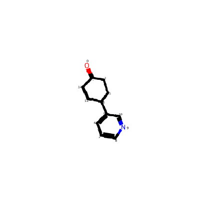 O=C1CCC(c2cccnc2)CC1